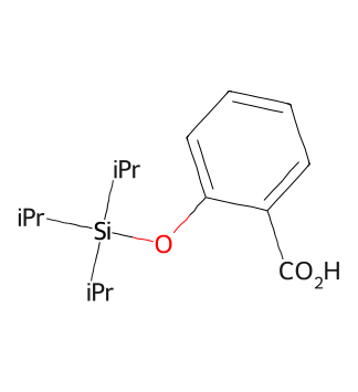 CC(C)[Si](Oc1ccccc1C(=O)O)(C(C)C)C(C)C